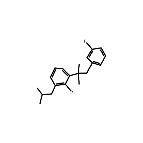 CC(C)Cc1cccc(C(C)(C)Cc2cccc(F)c2)c1F